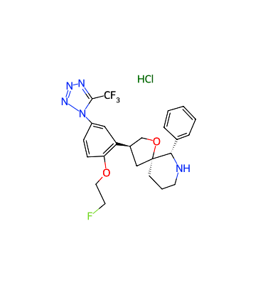 Cl.FCCOc1ccc(-n2nnnc2C(F)(F)F)cc1[C@H]1CO[C@]2(CCCN[C@H]2c2ccccc2)C1